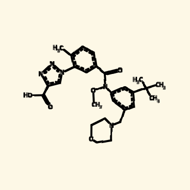 CON(C(=O)c1ccc(C)c(-n2cc(C(=O)O)nn2)c1)c1cc(CN2CCOCC2)cc(C(C)(C)C)c1